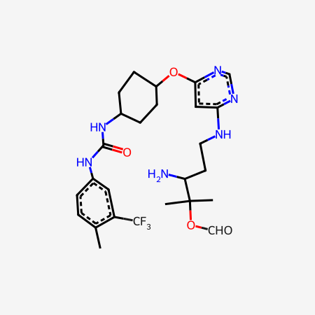 Cc1ccc(NC(=O)NC2CCC(Oc3cc(NCCC(N)C(C)(C)OC=O)ncn3)CC2)cc1C(F)(F)F